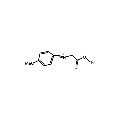 COc1ccc(/C=N/CC(=O)OC(C)C)cc1